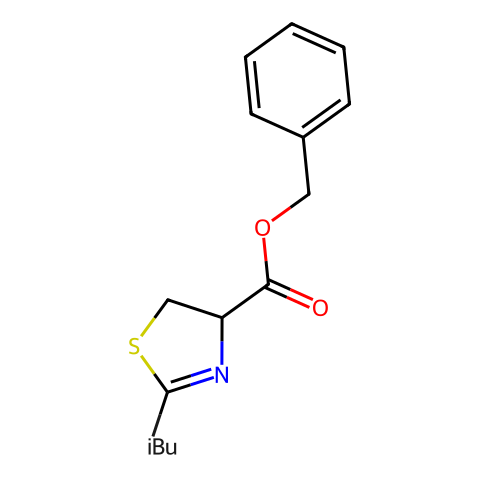 CCC(C)C1=NC(C(=O)OCc2ccccc2)CS1